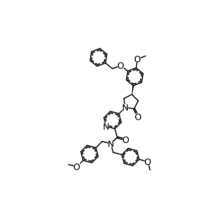 COc1ccc(CN(Cc2ccc(OC)cc2)C(=O)c2cc(N3C[C@@H](c4ccc(OC)c(OCc5ccccc5)c4)CC3=O)ccn2)cc1